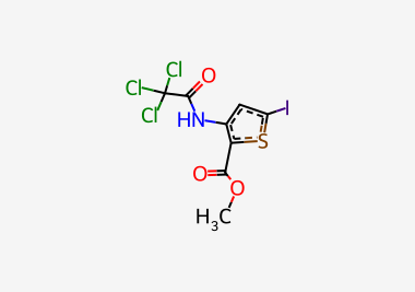 COC(=O)c1sc(I)cc1NC(=O)C(Cl)(Cl)Cl